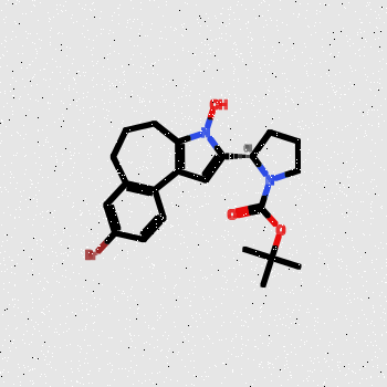 CC(C)(C)OC(=O)N1CCC[C@H]1c1cc2c(n1O)CCCc1cc(Br)ccc1-2